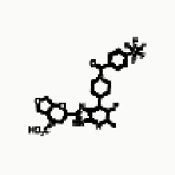 CC1N=c2[nH]c(C3CN(C(=O)O)C4COCC4O3)nc2=C(C2CCN(C(=O)c3ccc(S(F)(F)(F)(F)F)cc3)CC2)C1F